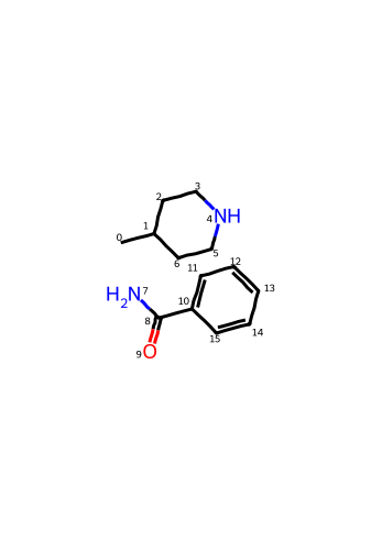 CC1CCNCC1.NC(=O)c1ccccc1